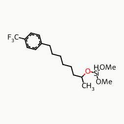 CO[SiH](OC)OC(C)CCCCCCc1ccc(C(F)(F)F)cc1